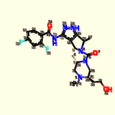 CCCN1C[C@H](C)N(C(=O)N2Cc3c(NC(=O)c4ccc(F)cc4F)n[nH]c3C2C)C[C@H]1CCO